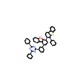 c1ccc(-c2nc(-c3ccccc3)nc(-c3cccc(-c4ccc(-c5ccc6c(sc7ccccc76)c5-c5ccccc5)c5oc6ccccc6c45)c3)n2)cc1